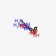 C=c1ccc2c(c1)Oc1cc(O)ccc1C=2c1ccc(NC(=S)NCC(=O)N[C@@H](CCCN)COC(N)=O)cc1C(=O)O